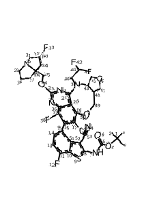 CC(C)(C)OC(=O)Nc1sc2c(F)ccc(-c3c(Cl)c4c5c(nc(OC[C@@]67CCCN6C[C@H](F)C7)nc5c3F)N(CC(F)F)C3COCC3CO4)c2c1C#N